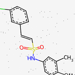 COc1ccc(NS(=O)(=O)/C=C/c2cccc(Cl)c2)cc1C